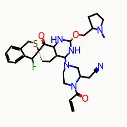 C=CC(=O)N1CCN(C2NC(OCC3CCCN3C)NC3C(=O)[C@]4(CCC32)SCc2ccccc2C4F)CC1CC#N